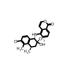 Cc1c(Cl)ccc2c1[C@H](C)C[C@](O)(C(F)(F)F)[C@H]2Nc1cccc2c(=O)occc12